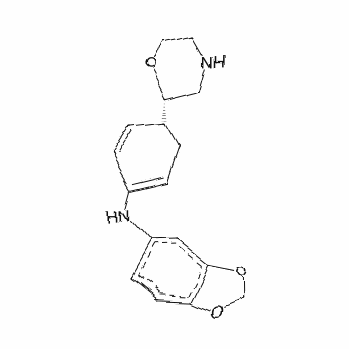 C1=CC([C@H]2CNCCO2)CC=C1Nc1ccc2c(c1)OCO2